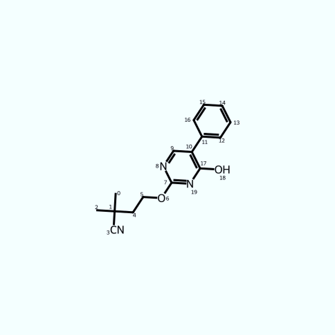 CC(C)(C#N)CCOc1ncc(-c2ccccc2)c(O)n1